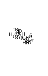 C[C@@H]1OCC2(CCN(c3cnc4c(C5(c6ccsc6)CC5)n[nH]c4n3)CC2)[C@@H]1NC(=O)OC(C)(C)C